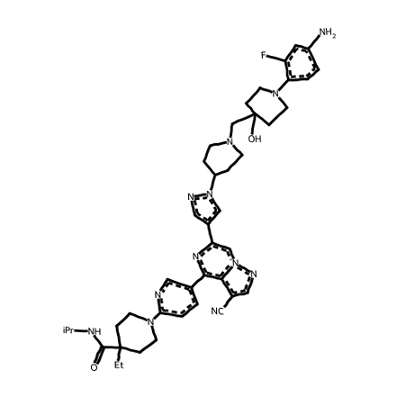 CCC1(C(=O)NC(C)C)CCN(c2ccc(-c3nc(-c4cnn(C5CCN(CC6(O)CCN(c7ccc(N)cc7F)CC6)CC5)c4)cn4ncc(C#N)c34)cn2)CC1